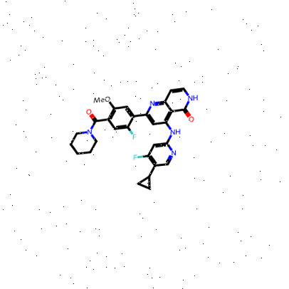 COc1cc(-c2cc(Nc3cc(F)c(C4CC4)cn3)c3c(=O)[nH]ccc3n2)c(F)cc1C(=O)N1CCCCC1